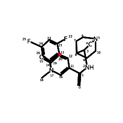 C=C(NC1CN2CCC1CC2)C(/C=C\C=O)=C/N(C)c1cc(F)cc(F)c1